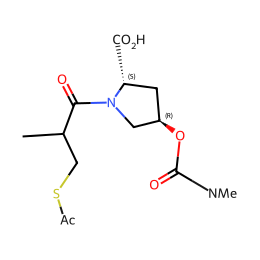 CNC(=O)O[C@@H]1C[C@@H](C(=O)O)N(C(=O)C(C)CSC(C)=O)C1